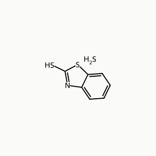 S.Sc1nc2ccccc2s1